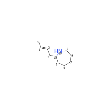 CC=CCC1CCCCCN1